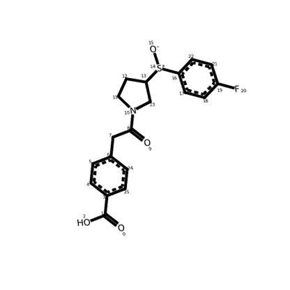 O=C(O)c1ccc(CC(=O)N2CCC([S+]([O-])c3ccc(F)cc3)C2)cc1